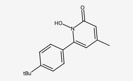 Cc1cc(-c2ccc(C(C)(C)C)cc2)n(O)c(=O)c1